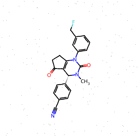 CN1C(=O)N(c2cccc(CF)c2)C2=C(C(=O)CC2)[C@H]1c1ccc(C#N)cc1